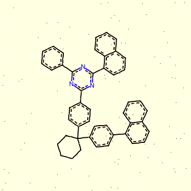 c1ccc(-c2nc(-c3ccc(C4(c5ccc(-c6cccc7ccccc67)cc5)CCCCC4)cc3)nc(-c3cccc4ccccc34)n2)cc1